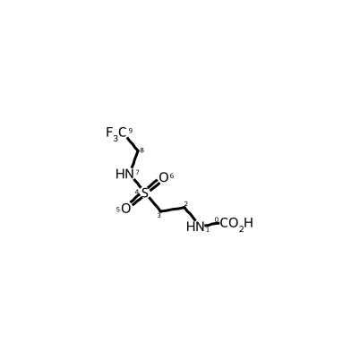 O=C(O)NCCS(=O)(=O)NCC(F)(F)F